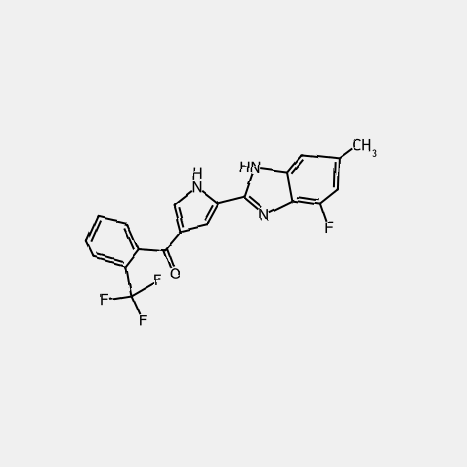 Cc1cc(F)c2nc(-c3cc(C(=O)c4ccccc4C(F)(F)F)c[nH]3)[nH]c2c1